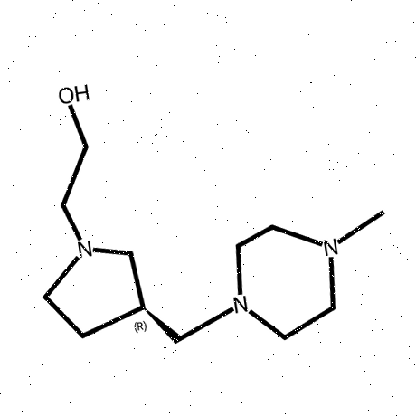 CN1CCN(C[C@H]2CCN(CCO)C2)CC1